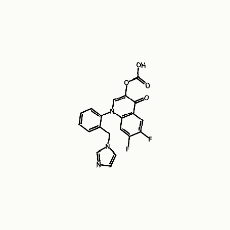 O=C(O)Oc1cn(-c2ccccc2Cn2ccnc2)c2cc(F)c(F)cc2c1=O